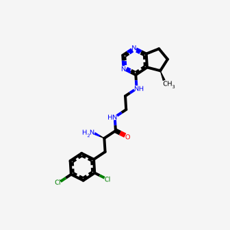 C[C@@H]1CCc2ncnc(NCCNC(=O)[C@H](N)Cc3ccc(Cl)cc3Cl)c21